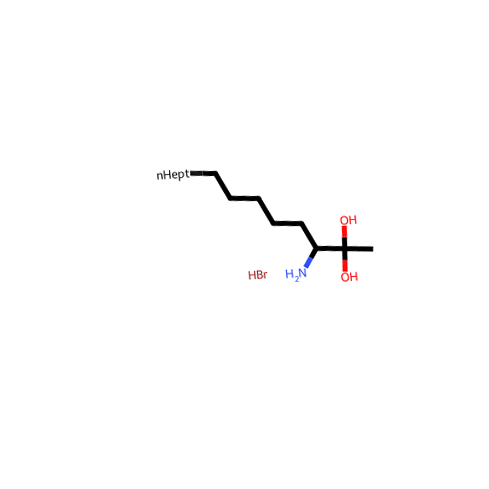 Br.CCCCCCCCCCCCC(N)C(C)(O)O